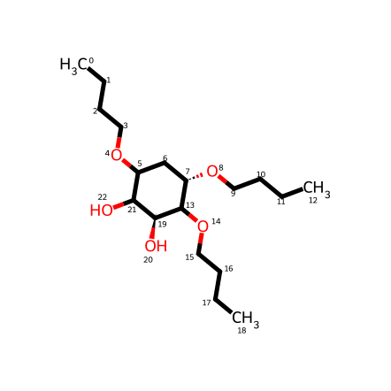 CCCCOC1C[C@H](OCCCC)C(OCCCC)[C@@H](O)C1O